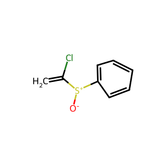 C=C(Cl)[S+]([O-])c1ccccc1